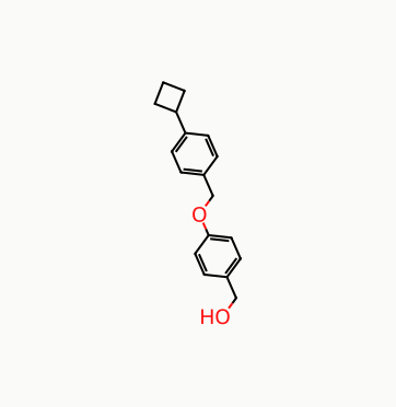 OCc1ccc(OCc2ccc(C3CCC3)cc2)cc1